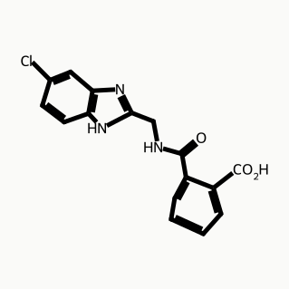 O=C(O)c1ccccc1C(=O)NCc1nc2cc(Cl)ccc2[nH]1